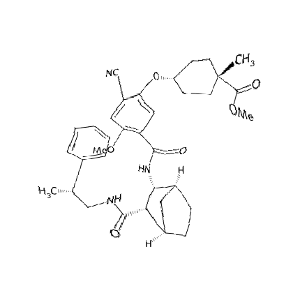 COc1cc(C#N)c(O[C@H]2CC[C@@](C)(C(=O)OC)CC2)cc1C(=O)N[C@@H]1[C@H]2CC[C@H](C2)[C@@H]1C(=O)NC[C@H](C)c1ccccc1